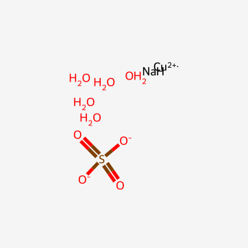 O.O.O.O.O.O=S(=O)([O-])[O-].[Cu+2].[NaH]